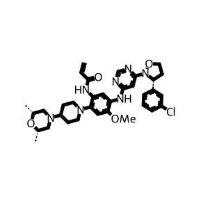 C=CC(=O)Nc1cc(Nc2cc(N3OCC[C@@H]3c3cccc(Cl)c3)ncn2)c(OC)cc1N1CCC(N2C[C@@H](C)O[C@@H](C)C2)CC1